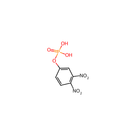 O=[N+]([O-])c1ccc(OP(=O)(O)O)cc1[N+](=O)[O-]